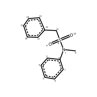 CN(c1ccccc1)S(=O)(=O)Cc1ccccc1